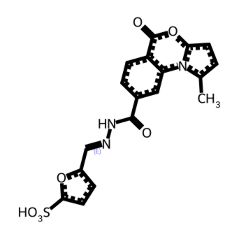 Cc1ccc2oc(=O)c3ccc(C(=O)N/N=C/c4ccc(S(=O)(=O)O)o4)cc3n12